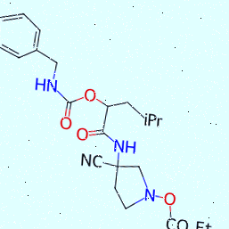 CCOC(=O)ON1CCC(C#N)(NC(=O)C(CC(C)C)OC(=O)NCc2ccccc2)C1